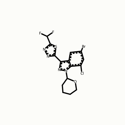 FC(F)c1nnc(-c2nn(C3CCCCO3)c3c(Cl)cc(Br)cc23)s1